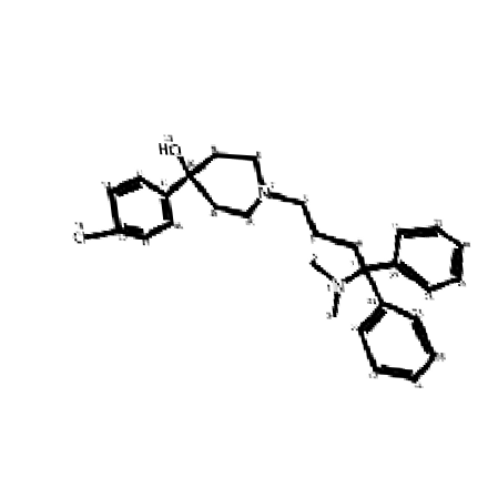 CN(C)C(CCCN1CCC(O)(c2ccc(Cl)cc2)CC1)(c1ccccc1)c1ccccc1